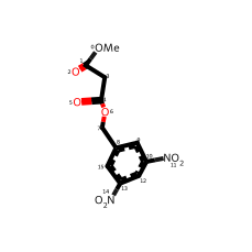 COC(=O)CC(=O)OCc1cc([N+](=O)[O-])cc([N+](=O)[O-])c1